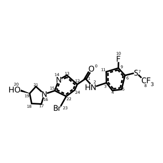 O=C(Nc1ccc(SC(F)(F)F)c(F)c1)c1cnc(N2CC[C@@H](O)C2)c(Br)c1